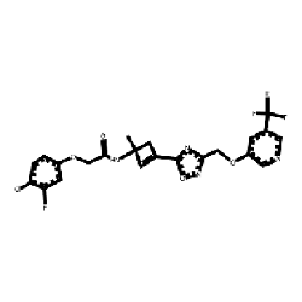 CC1(NC(=O)COc2ccc(Cl)c(F)c2)C=C(c2nc(COc3cncc(C(F)(F)F)c3)no2)C1